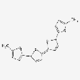 Cc1ccc(C2C=C/C(=C3\C=CC(c4ccc(C)s4)S3)S2)s1